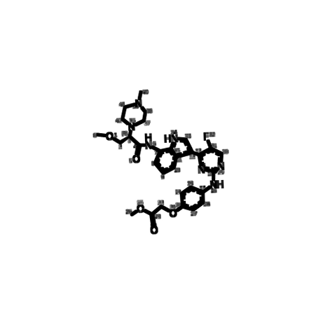 COC[C@H](C(=O)Nc1cccc2c(-c3nc(Nc4ccc(OCC(=O)OC)cc4)ncc3F)c[nH]c12)N1CCN(C)CC1